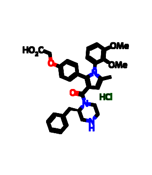 COc1cccc(-n2c(C)cc(C(=O)N3CCNC[C@H]3Cc3ccccc3)c2-c2ccc(OCC(=O)O)cc2)c1OC.Cl